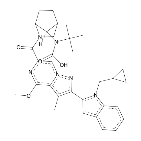 COc1nc(C(=O)N2CC3CCC2[C@@H]3N(C(=O)O)C(C)(C)C)cn2nc(-c3cc4ccccc4n3CC3CC3)c(C)c12